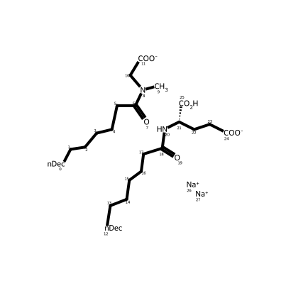 CCCCCCCCCCCCCCCC(=O)N(C)CC(=O)[O-].CCCCCCCCCCCCCCCC(=O)N[C@@H](CCC(=O)[O-])C(=O)O.[Na+].[Na+]